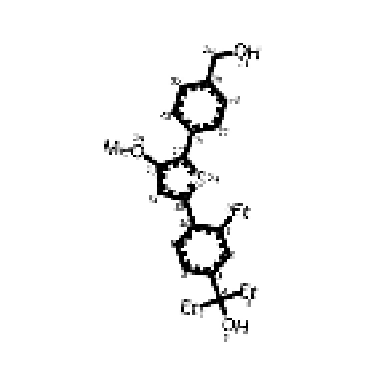 CCc1cc(C(O)(CC)CC)ccc1-c1cc(OC)c(-c2ccc(CO)cc2)s1